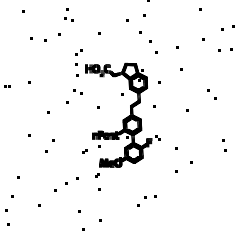 CCCCCc1cc(CCc2ccc3c(c2)[C@@H](CC(=O)O)CC3)ccc1-c1cc(OC)ccc1F